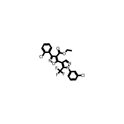 CCOC(=O)c1c(-c2ccccc2Cl)noc1-c1cnn(-c2cccc(Cl)c2)c1C(F)(F)F